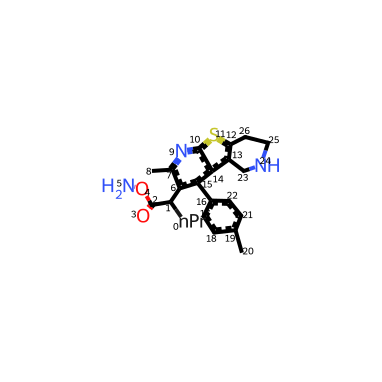 CCCC(C(=O)ON)c1c(C)nc2sc3c(c2c1-c1ccc(C)cc1)CNCC3